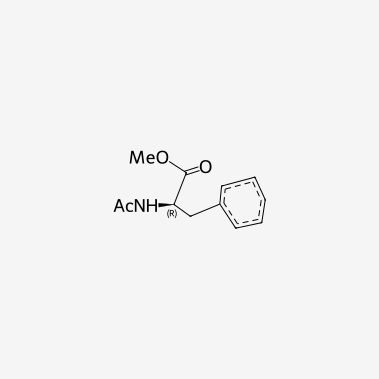 COC(=O)[C@@H](Cc1ccccc1)NC(C)=O